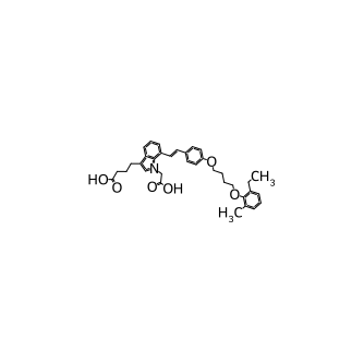 CCc1cccc(C)c1OCCCCOc1ccc(/C=C/c2cccc3c(CCCC(=O)O)cn(CC(=O)O)c23)cc1